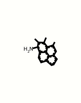 Cc1c(N)c2ccc3cccc4cc(C)c(c1C)c2c34